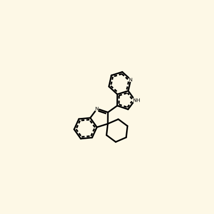 c1ccc2c(c1)N=C(c1c[nH]c3ncccc13)C21CCCCC1